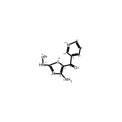 CCCNc1nc(N)c(C(=O)c2cccnc2)s1